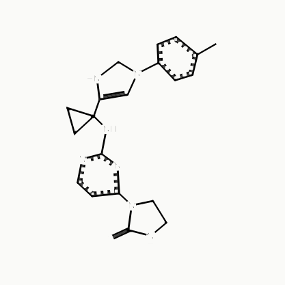 Cc1ccc(N2C=C(C3(Nc4nccc(N5CCNC5=O)n4)CC3)NC2)cc1